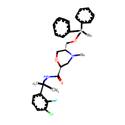 CC(C)(NC(=O)[C@@H]1CN(C(C)(C)C)[C@@H](CO[Si](c2ccccc2)(c2ccccc2)C(C)(C)C)CO1)c1cccc(Cl)c1F